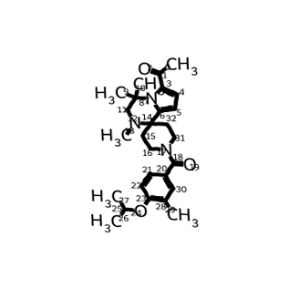 CC(=O)c1ccc2n1C(C)(C)CN(C)C21CCN(C(=O)c2ccc(OC(C)C)c(C)c2)CC1